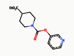 CCOC(=O)C1CCN(C(=O)Oc2cccnc2)CC1